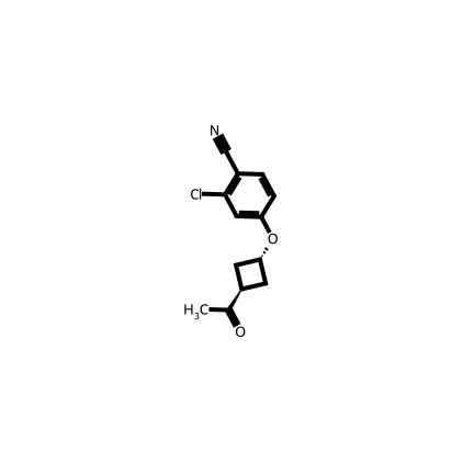 CC(=O)[C@H]1C[C@H](Oc2ccc(C#N)c(Cl)c2)C1